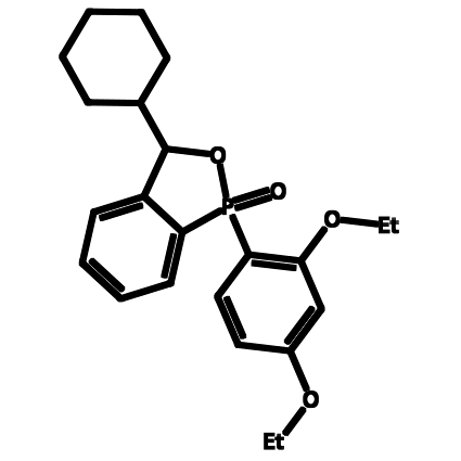 CCOc1ccc(P2(=O)OC(C3CCCCC3)c3ccccc32)c(OCC)c1